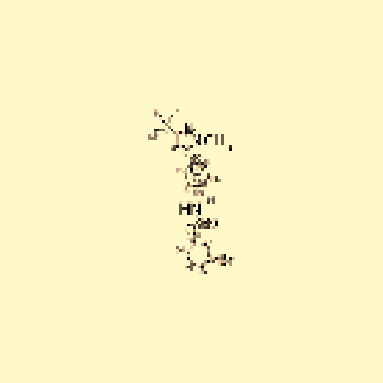 Cn1nc(C2(F)CC2)cc1C12CCC(CNC(=O)Oc3cccc(Br)c3)(CC1)CC2